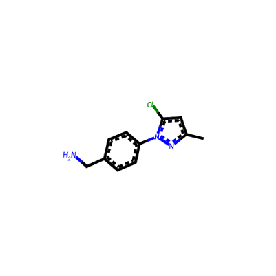 Cc1cc(Cl)n(-c2ccc(CN)cc2)n1